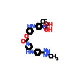 Cn1nnc(-c2ccc(NC3CCN(C(=O)COC4CCC(Nc5ccc(N(O)O)c(C(F)(F)F)c5)CC4)CC3)cc2)n1